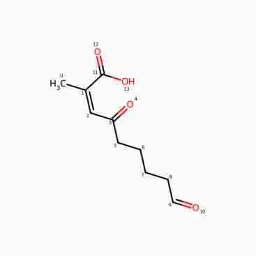 CC(=CC(=O)CCCCC=O)C(=O)O